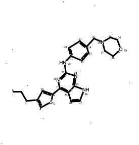 CCCc1csc(-c2nc(Nc3ccc(CN4CCOCC4)cc3)nc3[nH]ccc23)c1